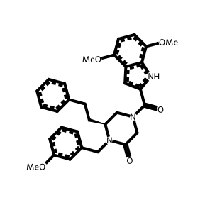 COc1cccc(CN2C(=O)CN(C(=O)c3cc4c(OC)ccc(OC)c4[nH]3)C[C@@H]2CCc2ccccc2)c1